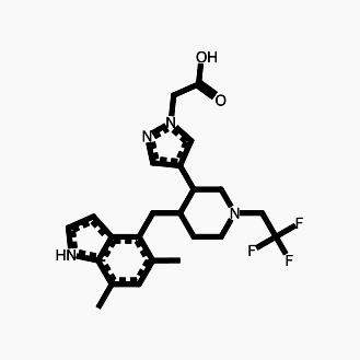 Cc1cc(C)c2[nH]ccc2c1CC1CCN(CC(F)(F)F)CC1c1cnn(CC(=O)O)c1